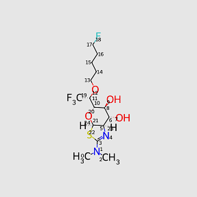 CN(C)C1=N[C@@H]2[C@@H](O)[C@H](O)[C@@H]([C@@H](OCCCCCF)C(F)(F)F)O[C@@H]2S1